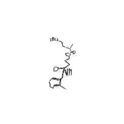 Cc1ccccc1NC(=O)CCCOC(=O)C(C)CCC(C)(C)C